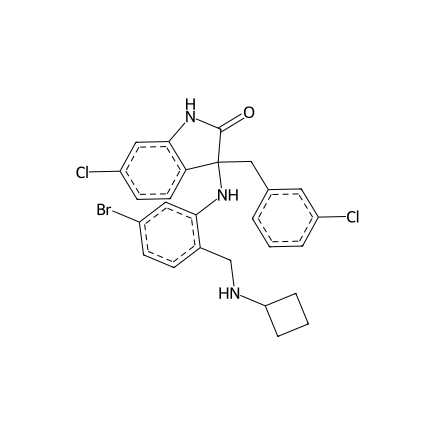 O=C1Nc2cc(Cl)ccc2C1(Cc1cccc(Cl)c1)Nc1cc(Br)ccc1CNC1CCC1